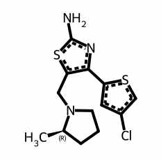 C[C@@H]1CCCN1Cc1sc(N)nc1-c1cc(Cl)cs1